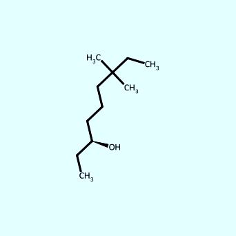 CC[C@H](O)CCCC(C)(C)CC